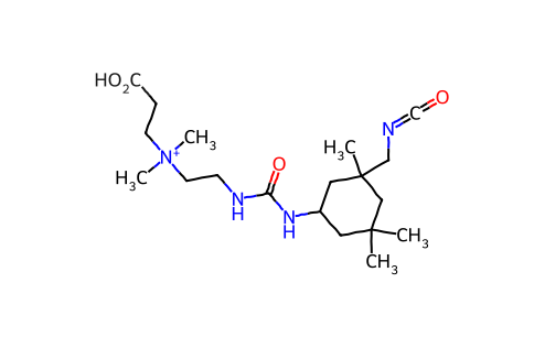 CC1(C)CC(NC(=O)NCC[N+](C)(C)CCC(=O)O)CC(C)(CN=C=O)C1